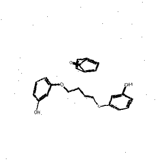 O=C1C2=CC=C1C=C2.Oc1cccc(OCCCCOc2cccc(O)c2)c1